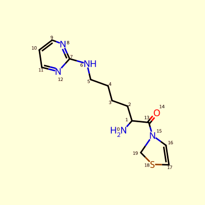 NC(CCCCNc1ncccn1)C(=O)N1C=CSC1